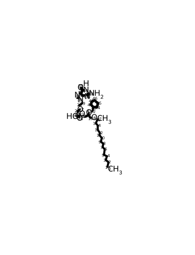 CCCCCCCCCCCCCCCCC(C)OCC(COP(=O)(O)COCCn1cnc2c(=O)[nH]c(N)nc21)OCc1ccccc1